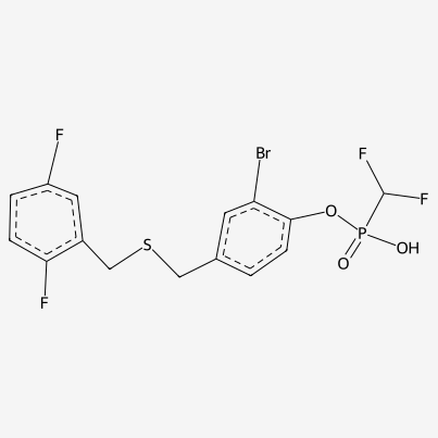 O=P(O)(Oc1ccc(CSCc2cc(F)ccc2F)cc1Br)C(F)F